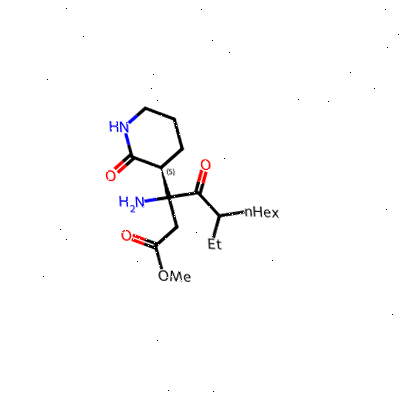 CCCCCCC(CC)C(=O)C(N)(CC(=O)OC)[C@@H]1CCCNC1=O